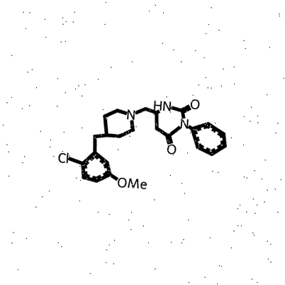 COc1ccc(Cl)c(CC2CCN(CC3CC(=O)N(c4ccccc4)C(=O)N3)CC2)c1